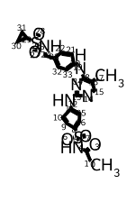 CCC(=O)NS(=O)(=O)c1ccc(Nc2ncc(C)c(Nc3ccc(CNS(=O)(=O)C4CC4)cc3)n2)cc1